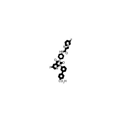 O=C(O)c1ccc(-c2cccc(-n3c(=O)n([C@H]4CC[C@@H](NC(=O)c5cn6cc(F)ccc6n5)CC4)c(=O)c4cc(F)cnc43)c2)cc1